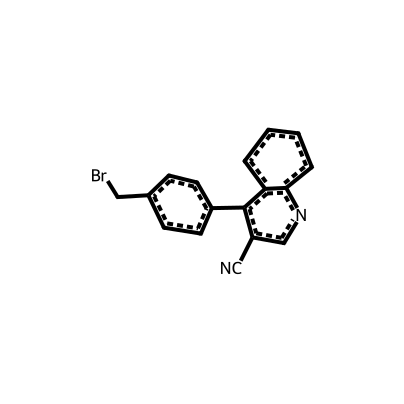 N#Cc1cnc2ccccc2c1-c1ccc(CBr)cc1